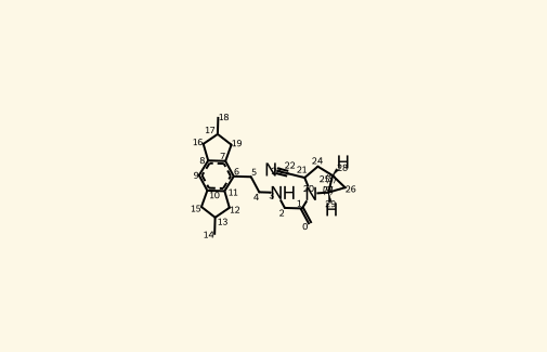 C=C(CNCCc1c2c(cc3c1CC(C)C3)CC(C)C2)N1C(C#N)C[C@@H]2C[C@@H]21